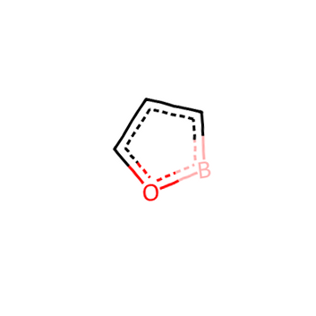 b1ccco1